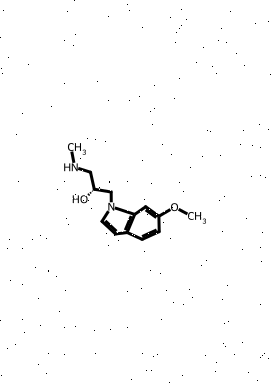 CNC[C@@H](O)Cn1ccc2ccc(OC)cc21